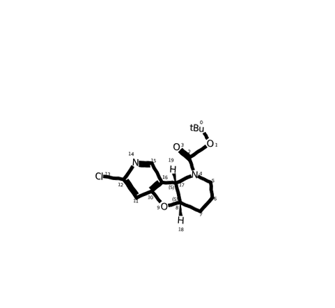 CC(C)(C)OC(=O)N1CCC[C@@H]2Oc3cc(Cl)ncc3[C@@H]21